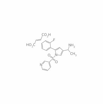 CC(N)c1cc(-c2ccccc2F)n(S(=O)(=O)c2cccnc2)c1.O=C(O)/C=C/C(=O)O